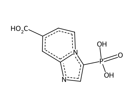 O=C(O)c1ccn2c(P(=O)(O)O)cnc2c1